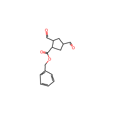 O=CC1CC(C=O)C(C(=O)OCc2ccccc2)C1